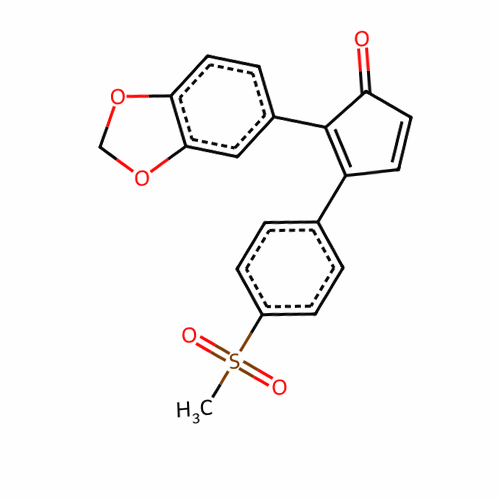 CS(=O)(=O)c1ccc(C2=C(c3ccc4c(c3)OCO4)C(=O)C=C2)cc1